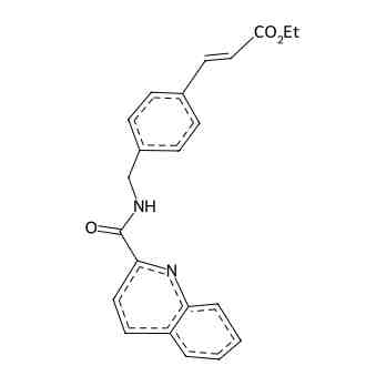 CCOC(=O)C=Cc1ccc(CNC(=O)c2ccc3ccccc3n2)cc1